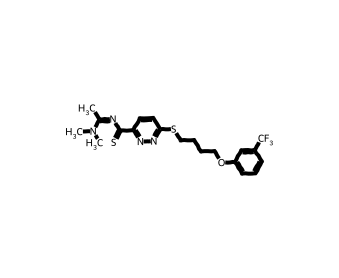 CC(=NC(=S)c1ccc(SCCCCOc2cccc(C(F)(F)F)c2)nn1)N(C)C